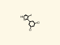 Clc1cc(Cl)cc(-c2n[nH]cc2I)c1